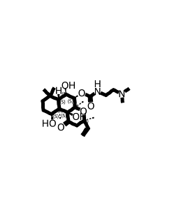 C=C[C@@]1(C)CC(=O)[C@]2(O)[C@@]3(C)[C@@H](O)CCC(C)(C)[C@@H]3[C@H](O)[C@H](OC(=O)NCCN(C)C)[C@@]2(C)O1